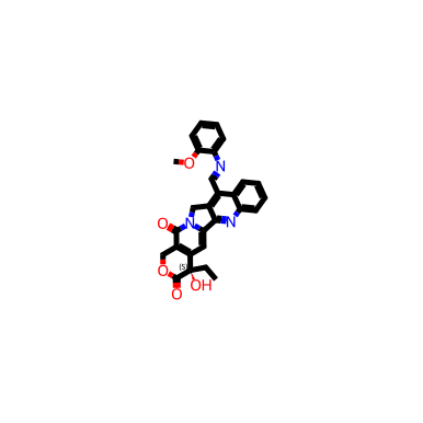 CC[C@@]1(O)C(=O)OCc2c1cc1n(c2=O)Cc2c-1nc1ccccc1c2C=Nc1ccccc1OC